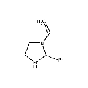 C=CN1CCNC1C(C)C